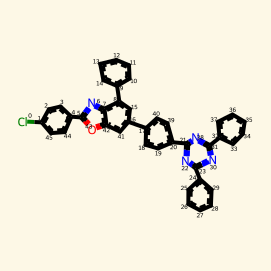 Clc1ccc(-c2nc3c(-c4ccccc4)cc(-c4ccc(-c5nc(-c6ccccc6)nc(-c6ccccc6)n5)cc4)cc3o2)cc1